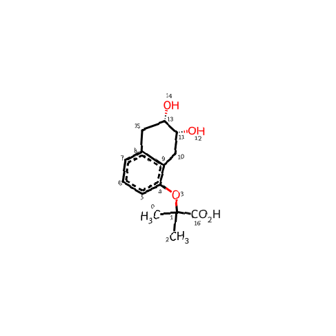 CC(C)(Oc1cccc2c1C[C@@H](O)[C@@H](O)C2)C(=O)O